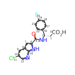 O=C(O)C[C@H](NC(=O)c1cc2cc(Cl)cnc2[nH]1)c1ccc(F)cc1